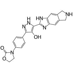 O=C1OCCN1c1ccc(-c2n[nH]c(-c3nc4cc5c(cc4[nH]3)CNC5)c2O)cc1